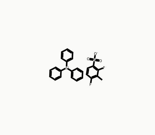 Cc1c(F)ccc(S(=O)(=O)[O-])c1F.c1ccc([S+](c2ccccc2)c2ccccc2)cc1